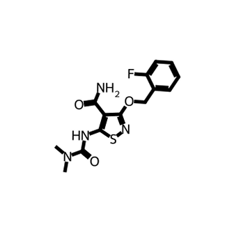 CN(C)C(=O)Nc1snc(OCc2ccccc2F)c1C(N)=O